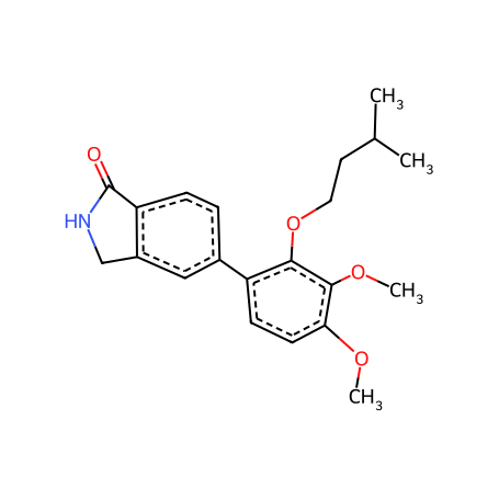 COc1ccc(-c2ccc3c(c2)CNC3=O)c(OCCC(C)C)c1OC